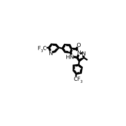 Cc1nn2c(=O)c3ccc(-c4ccc(C(F)(F)F)nc4)cc3[nH]c2c1-c1ccc(C(F)(F)F)cc1